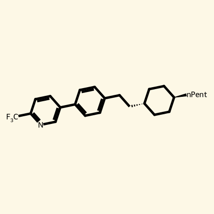 CCCCC[C@H]1CC[C@H](CCc2ccc(-c3ccc(C(F)(F)F)nc3)cc2)CC1